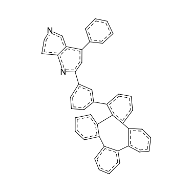 c1ccc(-c2cc(-c3cccc(-c4cccc5c4-c4ccccc4-c4ccccc4-c4ccccc4-5)c3)nc3ccncc23)cc1